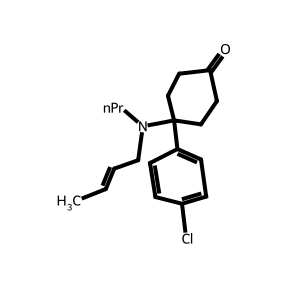 CC=CCN(CCC)C1(c2ccc(Cl)cc2)CCC(=O)CC1